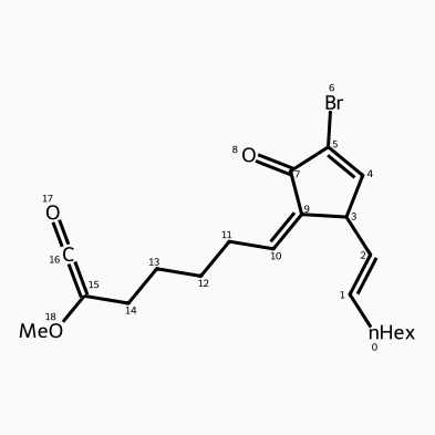 CCCCCCC=CC1C=C(Br)C(=O)C1=CCCCCC(=C=O)OC